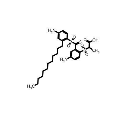 CCCCCCCCCCCCc1cc(N)ccc1S(=O)(=O)C(=S)c1cc(N)ccc1S(=O)(=O)C(C)C(=O)O